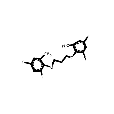 Cc1cc(F)cc(I)c1OCCCOc1c(C)cc(F)cc1I